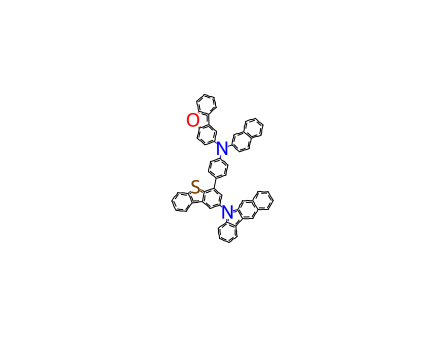 c1ccc2cc(N(c3ccc(-c4cc(-n5c6ccccc6c6cc7ccccc7cc65)cc5c4sc4ccccc45)cc3)c3ccc4oc5ccccc5c4c3)ccc2c1